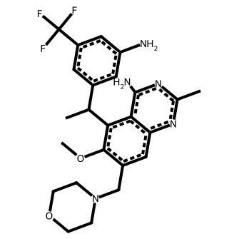 COc1c(CN2CCOCC2)cc2nc(C)nc(N)c2c1C(C)c1cc(N)cc(C(F)(F)F)c1